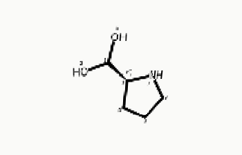 OC(O)[C@@H]1CCCN1